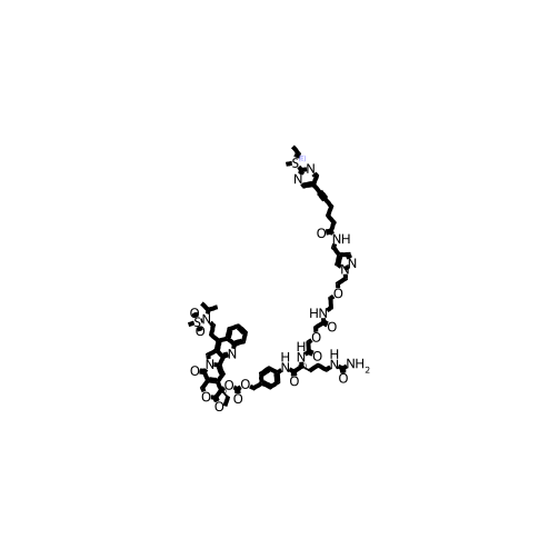 C/C=S(\C)c1ncc(C#CCCCC(=O)NCc2cnn(CCOCCNC(=O)COCC(=O)N[C@@H](CCCNC(N)=O)C(=O)Nc3ccc(COC(=O)O[C@]4(CC)C(=O)OCc5c4cc4n(c5=O)Cc5c-4nc4ccccc4c5CCN(C(C)C)S(C)(=O)=O)cc3)c2)cn1